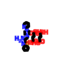 NC(CN1CCN(c2ccccn2)CC1)c1nc2ccccc2s1.O=C(O)/C=C/C(=O)O.O=C(O)/C=C/C(=O)O